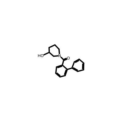 O=C(c1ccccc1-c1ccccc1)N1CCCC(O)C1